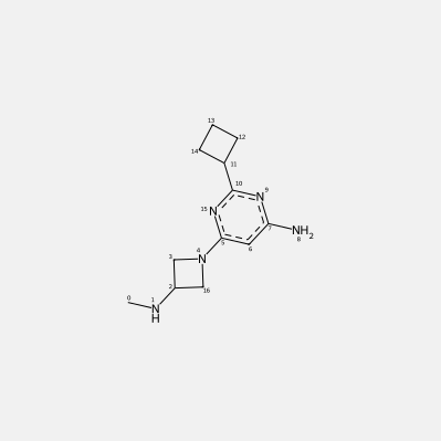 CNC1CN(c2cc(N)nc(C3CCC3)n2)C1